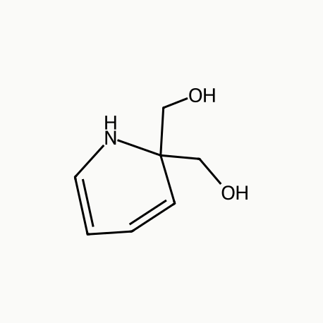 OCC1(CO)C=CC=CN1